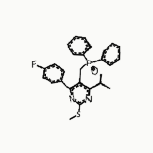 CSc1nc(-c2ccc(F)cc2)c(CP(=O)(c2ccccc2)c2ccccc2)c(C(C)C)n1